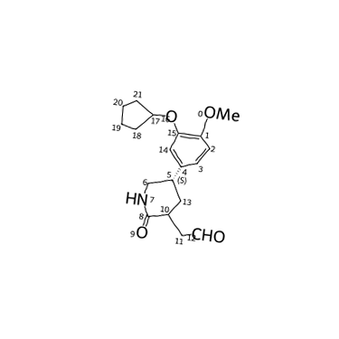 COc1ccc([C@H]2CNC(=O)C(CC=O)C2)cc1OC1CCCC1